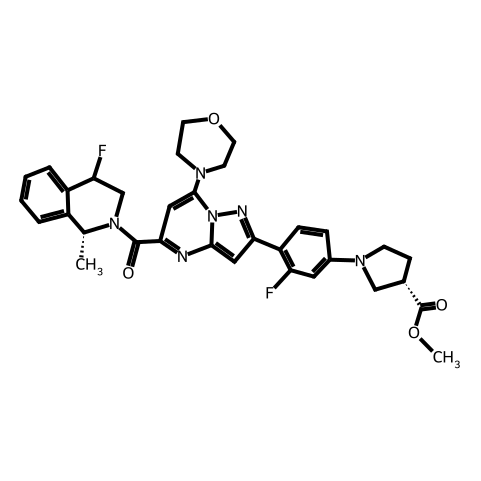 COC(=O)[C@H]1CCN(c2ccc(-c3cc4nc(C(=O)N5CC(F)c6ccccc6[C@H]5C)cc(N5CCOCC5)n4n3)c(F)c2)C1